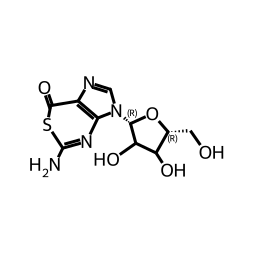 Nc1nc2c(ncn2[C@@H]2O[C@H](CO)C(O)C2O)c(=O)s1